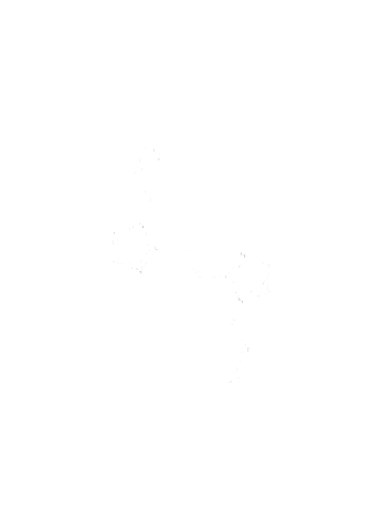 C=CCn1ccnc1SSc1nccn1CC=C